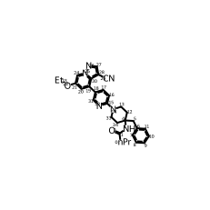 CCCC(=O)NC1(Cc2ccccc2)CCN(c2ccc(-c3cc(OCC)cn4ncc(C#N)c34)cn2)CC1